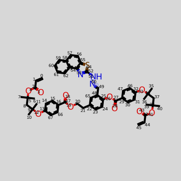 C=CC(=O)OC(C)(C)CC(C)(C)Oc1ccc(C(=O)OCCc2ccc(OC(=O)c3ccc(OC(C)(C)CC(C)(C)OC(=O)C=C)cc3)c(/C=N/Nc3nc4c(ccc5ccccc54)s3)c2)cc1